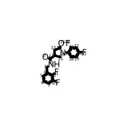 O=C(NCc1cccc(F)c1F)C1CC(=O)N(c2ccc(F)cc2F)C1